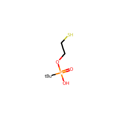 CC(C)(C)P(=O)(O)OCCS